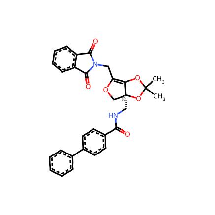 CC1(C)OC2=C(CN3C(=O)c4ccccc4C3=O)OC[C@]2(CNC(=O)c2ccc(-c3ccccc3)cc2)O1